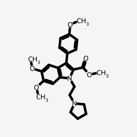 COC(=O)c1c(-c2ccc(OC)cc2)c2cc(OC)c(OC)cc2n1CCN1CCCC1